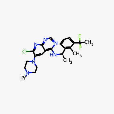 Cc1c([C@@H](C)Nc2ncnc3nc(Cl)c(N4CCN(C(C)C)CC4)cc23)cccc1C(C)(F)F